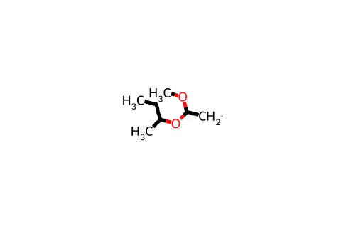 [CH2]C(OC)OC(C)CC